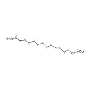 CCCCCCCCOCCCCC[CH]CCCCCCOCCCCCC